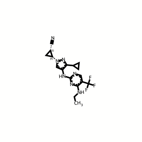 CCNc1nc(Nc2cn([C@@H]3C[C@@H]3C#N)nc2C2CC2)ncc1C(F)(F)F